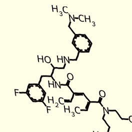 C=C/C(=C\C(=C/C)C(=O)N(CCC)CCC)C(=O)NC(Cc1cc(F)cc(F)c1)C(O)CNCc1cccc(CN(C)C)c1